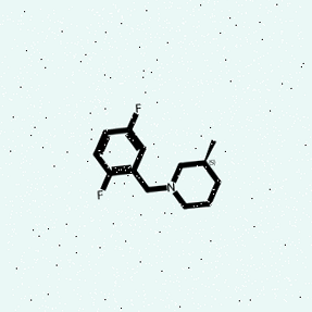 C[C@H]1CCCN(Cc2cc(F)ccc2F)C1